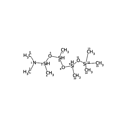 CN(C)[SiH](C)O[SiH](C)O[SiH](C)O[Si](C)(C)C